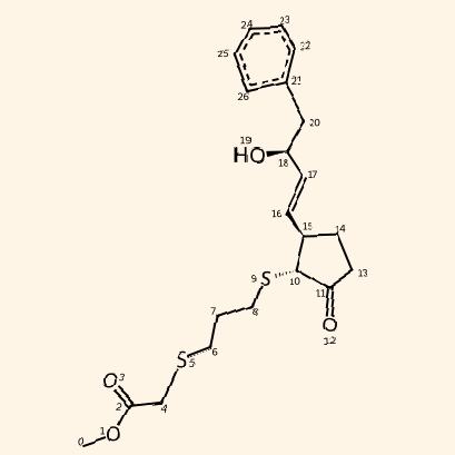 COC(=O)CSCCCS[C@H]1C(=O)CC[C@@H]1/C=C/[C@@H](O)Cc1ccccc1